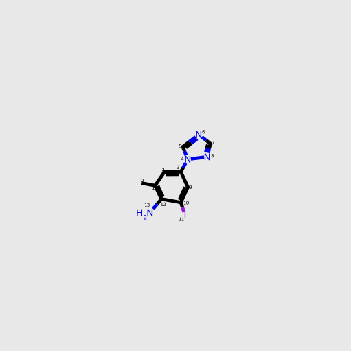 Cc1cc(-n2cncn2)cc(I)c1N